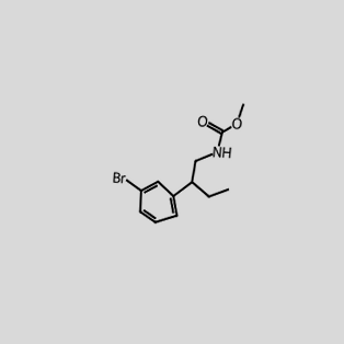 CCC(CNC(=O)OC)c1cccc(Br)c1